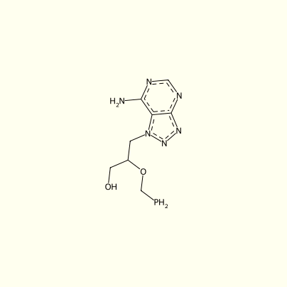 Nc1ncnc2nnn(CC(CO)OCP)c12